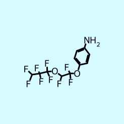 Nc1ccc(OC(F)(F)C(F)OC(F)(F)C(F)(F)C(F)F)cc1